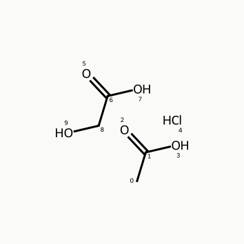 CC(=O)O.Cl.O=C(O)CO